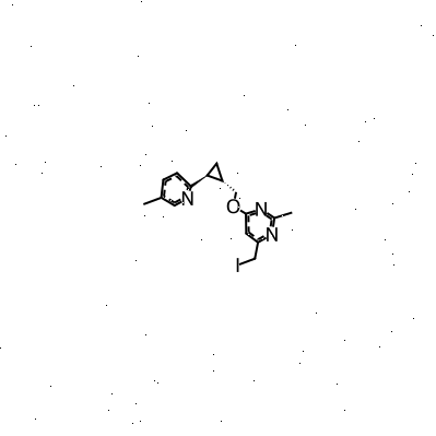 Cc1ccc([C@H]2C[C@@H]2COc2cc(CI)nc(C)n2)nc1